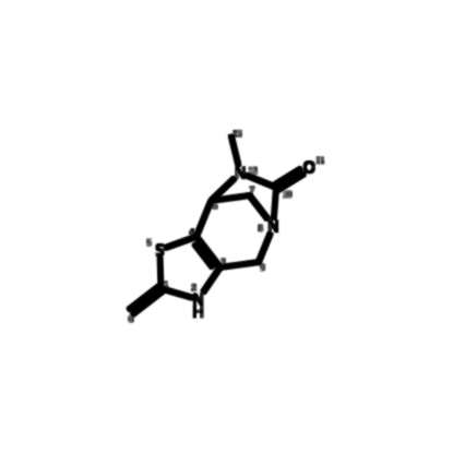 C=C1NC2=C(S1)C1CN(C2)C(=O)N1C